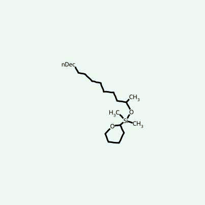 CCCCCCCCCCCCCCCCCC(C)O[Si](C)(C)C1CCCCO1